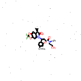 CCCN(CCO)C(=O)[C@H]1C[C@H](NC(=O)C2(c3ccc4c(c3)OC(F)(F)O4)CC2)c2ccc(OC)cc2O1